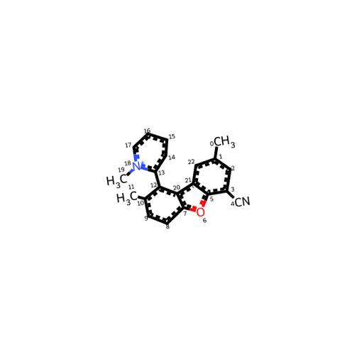 Cc1cc(C#N)c2oc3ccc(C)c(-c4cccc[n+]4C)c3c2c1